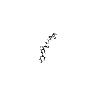 CN1CCN(c2ccc(NC(=O)CCCCN[S+]([O-])C(C)(C)C)cc2)CC1